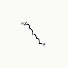 CCCCSCCCCS